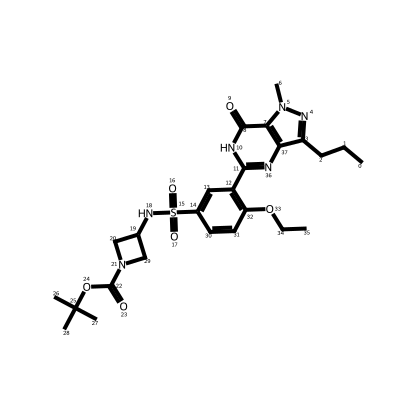 CCCc1nn(C)c2c(=O)[nH]c(-c3cc(S(=O)(=O)NC4CN(C(=O)OC(C)(C)C)C4)ccc3OCC)nc12